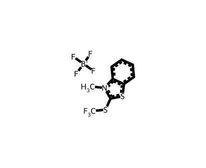 C[n+]1c(SC(F)(F)F)sc2ccccc21.F[B-](F)(F)F